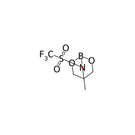 CC12COB(OC1)N(S(=O)(=O)C(F)(F)F)C2